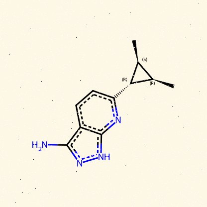 C[C@@H]1[C@H](C)[C@H]1c1ccc2c(N)n[nH]c2n1